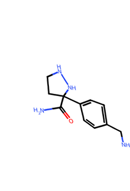 NCc1ccc(C2(C(N)=O)CCNN2)cc1